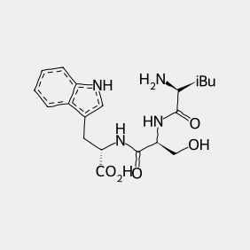 CC[C@H](C)[C@H](N)C(=O)N[C@@H](CO)C(=O)N[C@@H](Cc1c[nH]c2ccccc12)C(=O)O